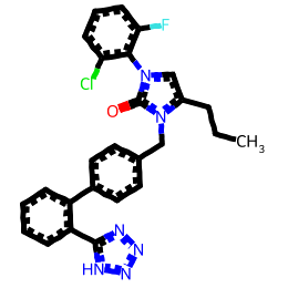 CCCc1cn(-c2c(F)cccc2Cl)c(=O)n1Cc1ccc(-c2ccccc2-c2nnn[nH]2)cc1